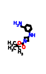 CC(C)(C)OC(=O)N1CC(Nc2cccc(CN)c2)C1